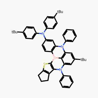 CC(C)(C)c1ccc(N(c2ccc(C(C)(C)C)cc2)c2ccc3c(c2)N(c2ccccc2)c2cc(C(C)(C)C)cc4c2B3c2sc3c(c2N4c2ccccc2)CCC3)cc1